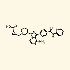 Nc1nccn2c(C3CCCN(CC4CC4C(=O)O)C3)nc(-c3ccc(C(=O)Nc4ccccn4)cc3)c12